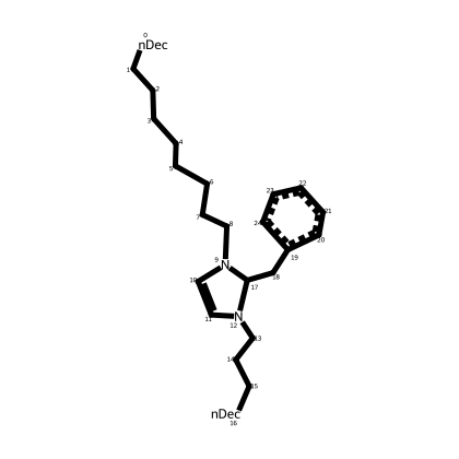 CCCCCCCCCCCCCCCCCCN1C=CN(CCCCCCCCCCCCC)C1Cc1ccccc1